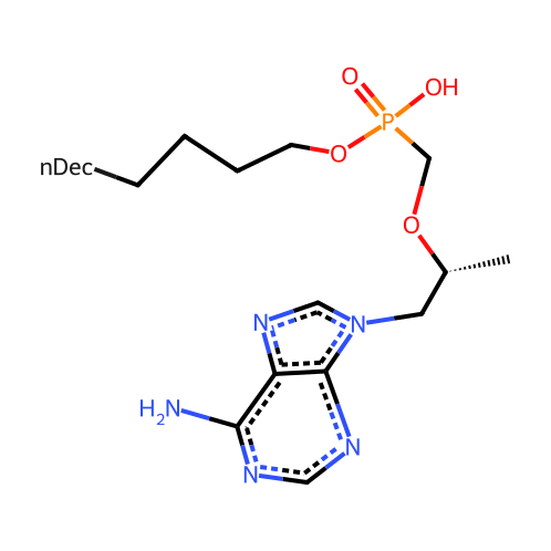 CCCCCCCCCCCCCCOP(=O)(O)CO[C@H](C)Cn1cnc2c(N)ncnc21